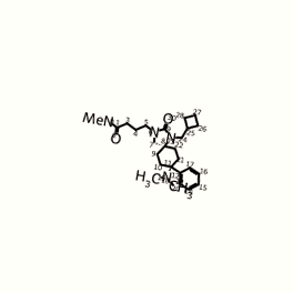 CNC(=O)CCCN1C[C@]2(CC[C@@](c3ccccc3)(N(C)C)CC2)N(CC2CCC2)C1=O